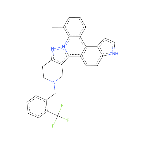 Cc1cccc2c3c4cc[nH]c4ccc3c3c4c(nn3c12)CCN(Cc1ccccc1C(F)(F)F)C4